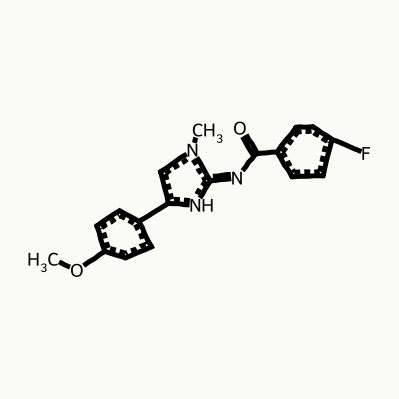 COc1ccc(-c2cn(C)/c(=N\C(=O)c3ccc(F)cc3)[nH]2)cc1